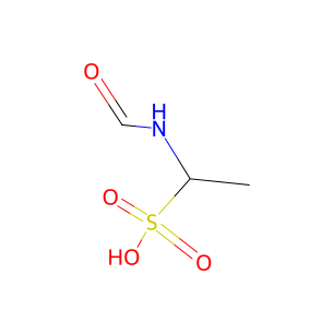 CC(NC=O)S(=O)(=O)O